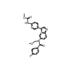 COCN(C(=O)c1ccc(F)cc1)c1ccc2ncc(-c3ccc(NC(=O)OC)nc3)n2c1